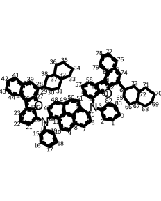 c1ccc(N(c2ccc3ccc4c(N(c5ccccc5)c5cccc6c5oc5c(C7CCC8CCCCC8C7)cc7ccccc7c56)ccc5ccc2c3c54)c2cccc3c2oc2c(C4CCC5CCCCC5C4)cc4ccccc4c23)cc1